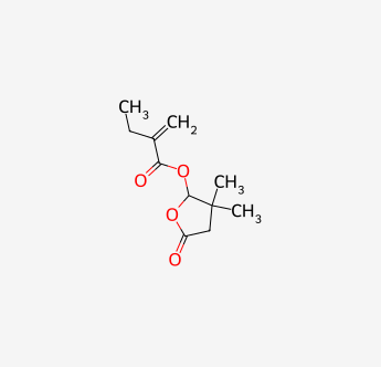 C=C(CC)C(=O)OC1OC(=O)CC1(C)C